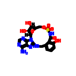 Nc1ncnc2c1nc1n2[C@@H]2O[C@H](COS(=O)(=O)NC(=O)c3c(O)cccc3CN1)[C@@H](O)[C@H]2O